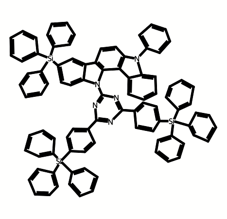 c1ccc(-n2c3ccccc3c3c2ccc2c4cc([Si](c5ccccc5)(c5ccccc5)c5ccccc5)ccc4n(-c4nc(-c5ccc([Si](c6ccccc6)(c6ccccc6)c6ccccc6)cc5)nc(-c5ccc([Si](c6ccccc6)(c6ccccc6)c6ccccc6)cc5)n4)c23)cc1